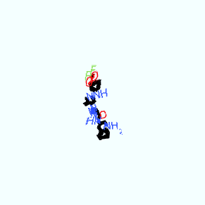 Cc1cnc(Nc2ccc3c(c2)OC(F)(F)O3)cc1-n1cc(C(=O)NC(CN)Cc2ccccc2)nn1